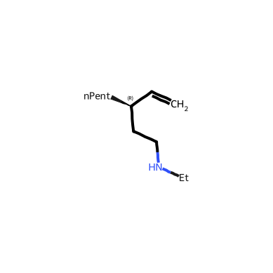 C=C[C@H](CCCCC)CCNCC